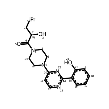 CC(C)C[C@@H](O)C(=O)N1CCN(c2ccnc(-c3ccccc3O)n2)CC1